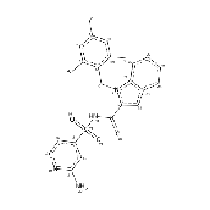 Cc1cc(C)c(Cn2c(C(=O)NS(=O)(=O)c3ccnc(N)c3)cc3ccccc32)c(C)c1